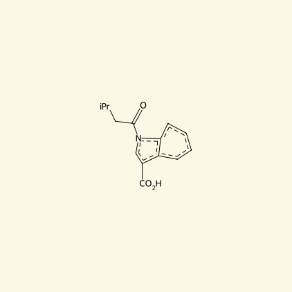 CC(C)CC(=O)n1cc(C(=O)O)c2ccccc21